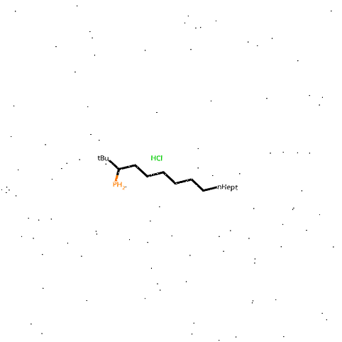 CCCCCCCCCCCCCC(P)C(C)(C)C.Cl